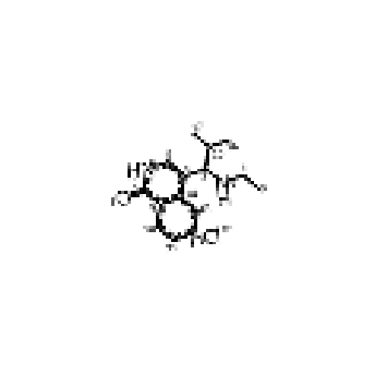 CCNC(c1c[nH]c(=O)c2ccccc12)C(C)C.Cl